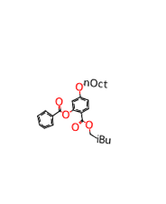 CCCCCCCCOc1ccc(C(=O)OCC(C)CC)c(OC(=O)c2ccccc2)c1